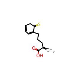 C=C(CCCC1=CC=CCC1=S)C(=O)O